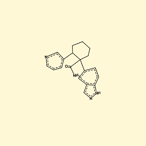 NC(=O)C1(c2ccc3[nH]ncc3c2)CCCCC1c1cccnc1